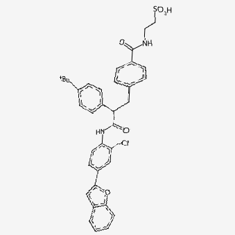 CC(C)(C)c1ccc(C(Cc2ccc(C(=O)NCCS(=O)(=O)O)cc2)C(=O)Nc2ccc(-c3cc4ccccc4o3)cc2Cl)cc1